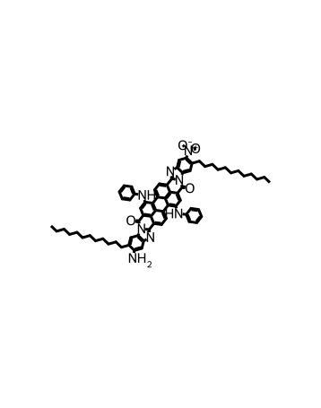 CCCCCCCCCCCCc1cc2c(cc1N)nc1c3ccc4c5c(Nc6ccccc6)cc6c(=O)n7c8cc(CCCCCCCCCCCC)c([N+](=O)[O-])cc8nc7c7ccc(c8c(Nc9ccccc9)cc(c(=O)n21)c3c48)c5c67